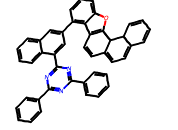 C1=CC2=CC=C3C=Cc4c(oc5cccc(-c6cc(-c7nc(-c8ccccc8)nc(-c8ccccc8)n7)c7ccccc7c6)c45)C3C2C=C1